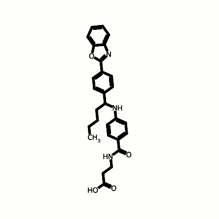 CCCCC(Nc1ccc(C(=O)NCCC(=O)O)cc1)c1ccc(-c2nc3ccccc3o2)cc1